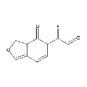 O=CC(F)C1C=CC2=COCC2C1=O